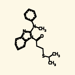 CC(C)SCCC(=O)n1c(N(C)c2ccccc2)nc2ccccc21